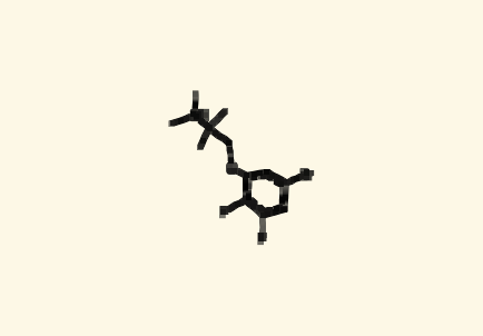 C[SiH](C)C(C)(C)COc1cc(Br)cc(F)c1F